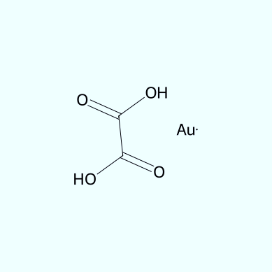 O=C(O)C(=O)O.[Au]